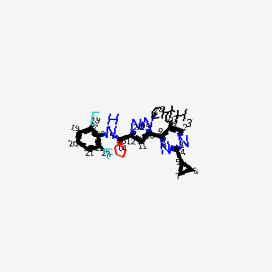 Cc1cnc(C2CC2)nc1-c1cc(C(=O)Nc2c(F)cccc2F)nn1C